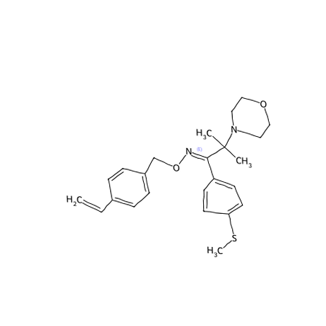 C=Cc1ccc(CO/N=C(\c2ccc(SC)cc2)C(C)(C)N2CCOCC2)cc1